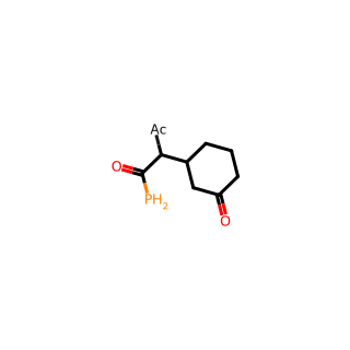 CC(=O)C(C(=O)P)C1CCCC(=O)C1